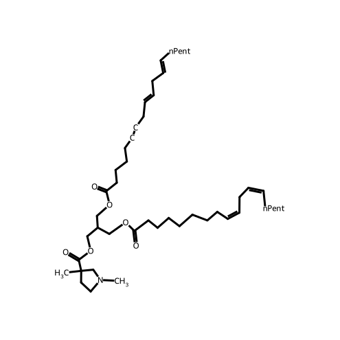 CCCCCC=CCC=CCCCCCCCC(=O)OCC(COC(=O)CCCCCCC/C=C\C/C=C\CCCCC)COC(=O)C1(C)CCN(C)C1